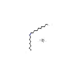 CCCCCCCC/C=C\CCCCCCCCN.[Cl][Pb]([Cl])([Cl])[Cl]